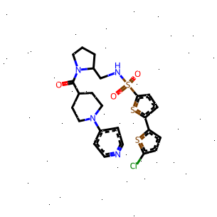 O=C(C1CCN(c2ccncc2)CC1)N1CCCC1CNS(=O)(=O)c1ccc(-c2ccc(Cl)s2)s1